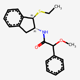 CCS[C@@H]1c2ccccc2C[C@H]1NC(=O)C(OC)c1ccccc1